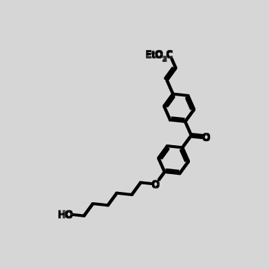 CCOC(=O)C=Cc1ccc(C(=O)c2ccc(OCCCCCCO)cc2)cc1